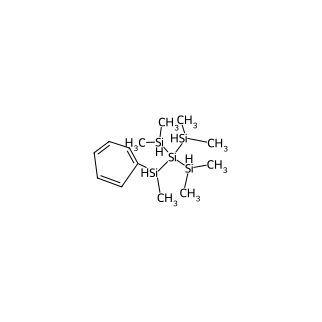 C[SiH](C)[Si]([SiH](C)C)([SiH](C)C)[SiH](C)c1ccccc1